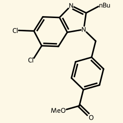 CCCCc1nc2cc(Cl)c(Cl)cc2n1Cc1ccc(C(=O)OC)cc1